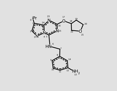 CC(C)c1cnn2c(NCc3cccc(N)c3)nc(OC3CCOC3)nc12